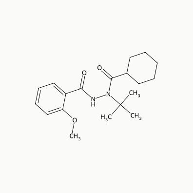 COc1ccccc1C(=O)NN(C(=O)C1CCCCC1)C(C)(C)C